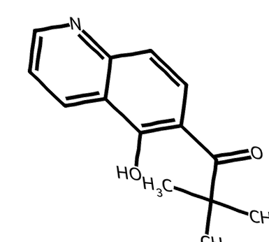 CC(C)(C)C(=O)c1ccc2ncccc2c1O